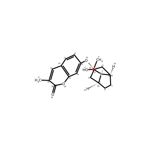 CB(O)N1[C@@H]2CC[C@H]1C[C@H](Oc1ccc3cc(C)c(=O)oc3c1)C2